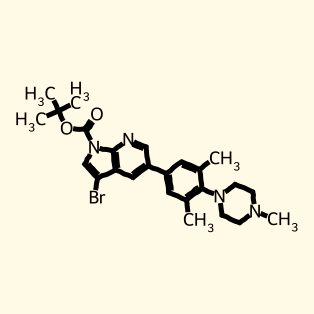 Cc1cc(-c2cnc3c(c2)c(Br)cn3C(=O)OC(C)(C)C)cc(C)c1N1CCN(C)CC1